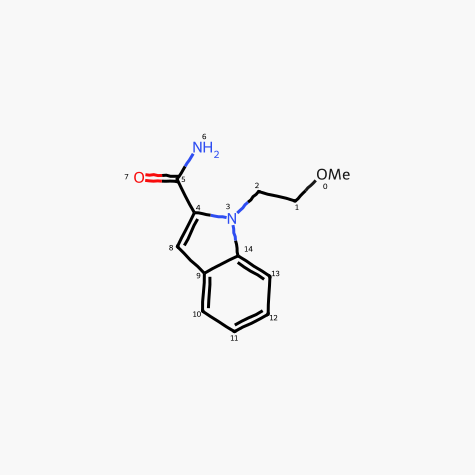 COCCn1c(C(N)=O)cc2ccccc21